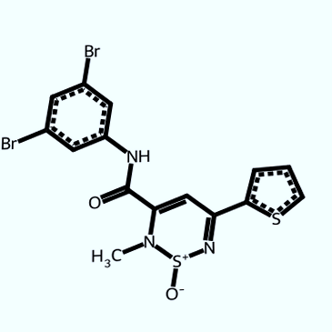 CN1C(C(=O)Nc2cc(Br)cc(Br)c2)=CC(c2cccs2)=N[S+]1[O-]